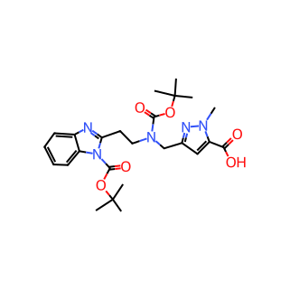 Cn1nc(CN(CCc2nc3ccccc3n2C(=O)OC(C)(C)C)C(=O)OC(C)(C)C)cc1C(=O)O